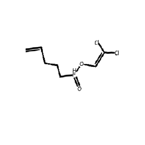 C=CCCC[PH](=O)OC=C(Cl)Cl